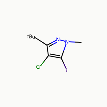 Cn1nc(C(C)(C)C)c(Cl)c1I